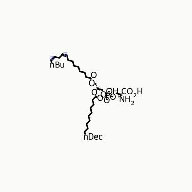 CCCC/C=C\C/C=C\CCCCCCCC(=O)OC[C@H](COP(=O)(O)OC[C@H](N)C(=O)O)OC(=O)CCCCCCCCCCCCCCCCCCC